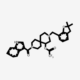 CC1(C)Cc2cccc(CN3CCC4(CCN(C(=O)c5c[nH]c6ccccc56)CC4)C(OC(=O)C(F)(F)F)C3)c2O1